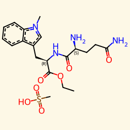 CCOC(=O)[C@@H](Cc1cn(C)c2ccccc12)NC(=O)[C@@H](N)CCC(N)=O.CS(=O)(=O)O